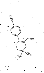 CC1(C)CCC(c2ccc(C#N)cc2)=C(C=O)C1